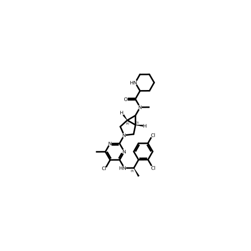 Cc1nc(N2C[C@@H]3C(N(C)C(=O)C4CCCCN4)[C@@H]3C2)nc(N[C@H](C)c2ccc(Cl)cc2Cl)c1Cl